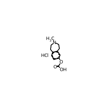 CN1CCc2ccc(OC(=O)O)cc2CC1.Cl